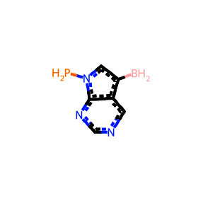 Bc1cn(P)c2ncncc12